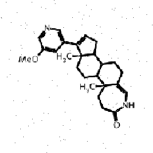 COc1cncc(C2=CCC3C4CCC5=CNC(=O)CC[C@]5(C)C4CC[C@]23C)c1